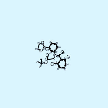 CC(C)(C)OC(=O)CN(C(=O)c1c(Cl)cccc1Cl)c1cccc(C2OCCO2)c1